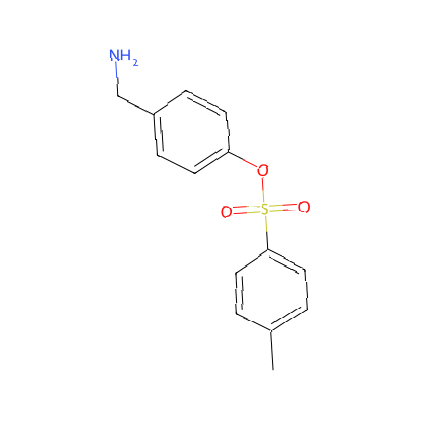 Cc1ccc(S(=O)(=O)Oc2ccc(CN)cc2)cc1